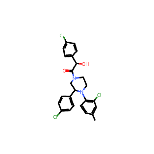 Cc1ccc(N2CCN(C(=O)C(O)c3ccc(Cl)cc3)CC2c2ccc(Cl)cc2)c(Cl)c1